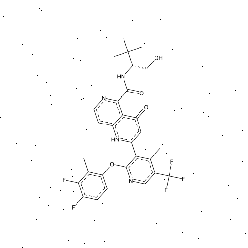 Cc1c(Oc2ncc(C(F)(F)F)c(C)c2-c2cc(=O)c3c(C(=O)N[C@@H](CO)C(C)(C)C)nccc3[nH]2)ccc(F)c1F